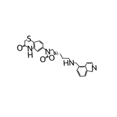 O=C1CSc2ccc(N3C[C@H](CCCNCc4cccc5cnccc45)OC3=O)cc2N1